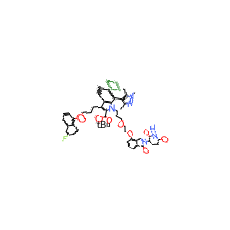 Cc1nn(C)c(C)c1-c1c(Cl)ccc2c(CCCOc3cccc4cc(F)ccc34)c(C(=O)OC(C)(C)C)n(CCCOCCOc3cccc4c3CN(C3CCC(=O)NC3=O)C4=O)c12